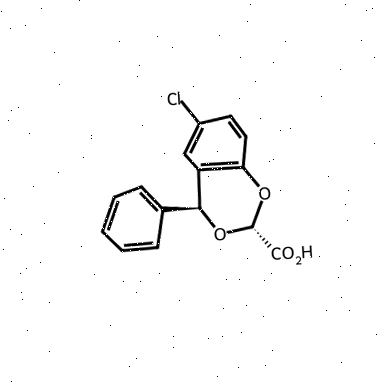 O=C(O)[C@H]1Oc2ccc(Cl)cc2[C@H](c2ccccc2)O1